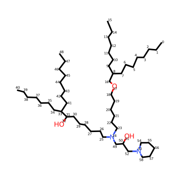 CCCCCCCCC(CCCCCCC)COCCCCCCN(CCCCCCC(O)C(CCCCCCC)CCCCCCCC)CC(O)CN1CCCCC1